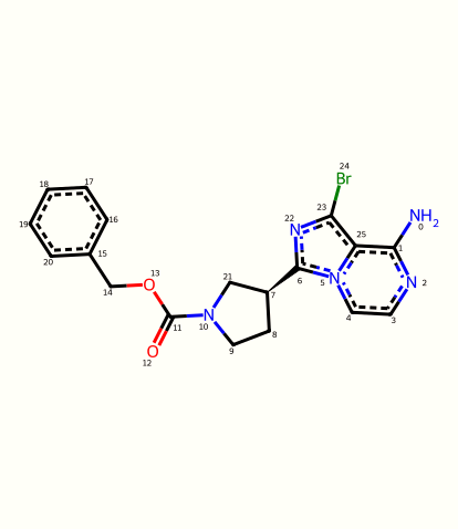 Nc1nccn2c([C@H]3CCN(C(=O)OCc4ccccc4)C3)nc(Br)c12